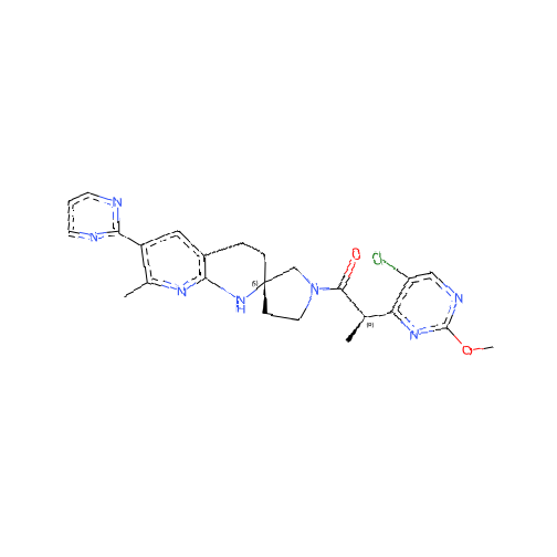 COc1ncc(Cl)c([C@@H](C)C(=O)N2CC[C@@]3(CCc4cc(-c5ncccn5)c(C)nc4N3)C2)n1